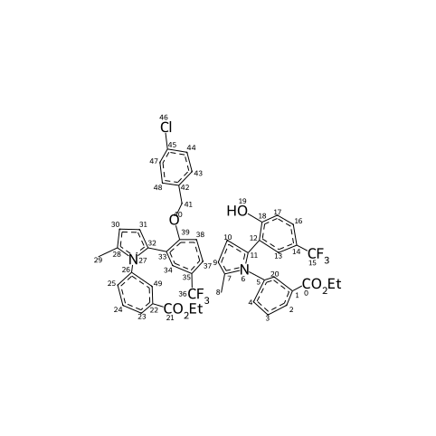 CCOC(=O)c1cccc(-n2c(C)ccc2-c2cc(C(F)(F)F)ccc2O)c1.CCOC(=O)c1cccc(-n2c(C)ccc2-c2cc(C(F)(F)F)ccc2OCc2ccc(Cl)cc2)c1